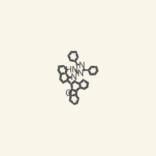 c1ccc(C2=NC(c3ccccc3)NC(n3c4c5ccccc5ccc4c4c5oc6ccccc6c5c5ccccc5c43)=N2)cc1